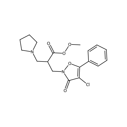 COOC(=O)C(CN1CCCC1)Cn1oc(-c2ccccc2)c(Cl)c1=O